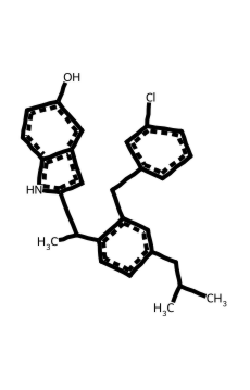 CC(C)Cc1ccc(C(C)c2cc3cc(O)ccc3[nH]2)c(Cc2cccc(Cl)c2)c1